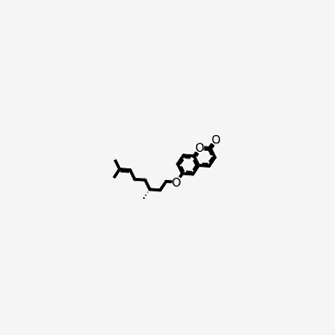 CC(C)=CCC[C@@H](C)CCOc1ccc2oc(=O)ccc2c1